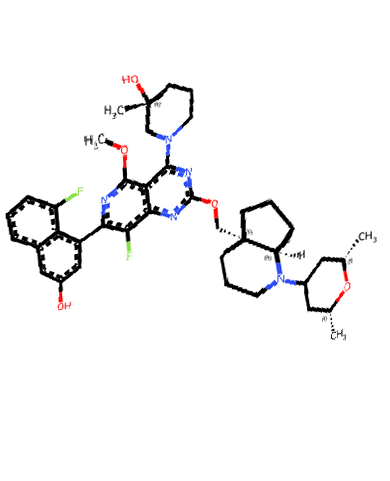 COc1nc(-c2cc(O)cc3cccc(F)c23)c(F)c2nc(OC[C@]34CCC[C@H]3N(C3C[C@@H](C)O[C@@H](C)C3)CCC4)nc(N3CCC[C@@](C)(O)C3)c12